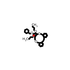 CCCCO[C@@H]1C2COCc3ccccc3CCc3ccccc3COC1[C@H](OCCCC)[C@H](OCC1CCCCC1)O2